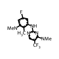 CNc1cc(F)cc(Nc2ncc(C(F)(F)F)c(NC)n2)c1C